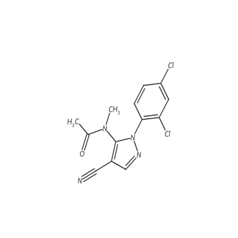 CC(=O)N(C)c1c(C#N)cnn1-c1ccc(Cl)cc1Cl